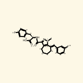 Cn1nc(C(=O)N[C@H](Cc2ccc(F)cc2)C(=O)O)c2c1/C(=C/c1cccc(F)c1)CCCC2